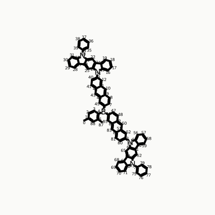 Cc1ccc(B(c2ccc3cc4cc(-n5c6ccccc6c6cc7c(cc65)c5ccccc5n7-c5ccccc5)ccc4cc3c2)c2ccc3cc4cc(-n5c6ccccc6c6cc7c(cc65)c5ccccc5n7-c5ccccc5)ccc4cc3c2)c(C)c1